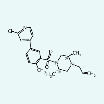 C=CCN1C[C@H](C)N(S(=O)(=O)c2cc(-c3ccnc(Cl)c3)ccc2C)C[C@H]1C